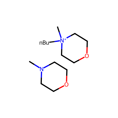 CCCC[N+]1(C)CCOCC1.CN1CCOCC1